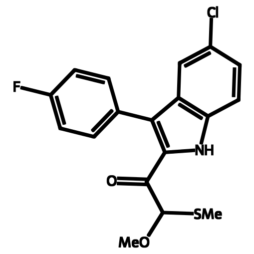 COC(SC)C(=O)c1[nH]c2ccc(Cl)cc2c1-c1ccc(F)cc1